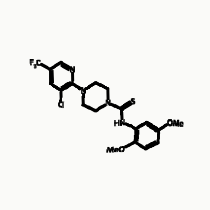 COc1ccc(OC)c(NC(=S)N2CCN(c3ncc(C(F)(F)F)cc3Cl)CC2)c1